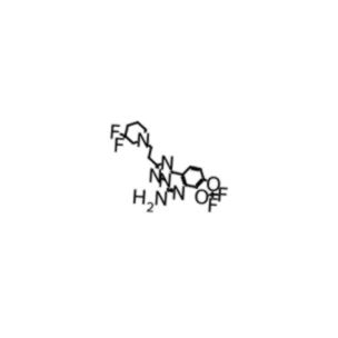 Nc1nc2c3c(ccc2c2nc(CCN4CCCC(F)(F)C4)nn12)OC(F)(F)O3